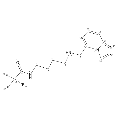 O=C(NCCCCNCc1cccc2nccn12)C(F)(F)F